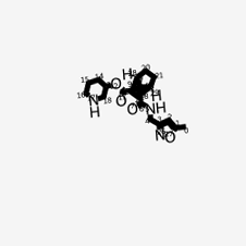 Cc1cc(CNC(=O)[C@H]2[C@H](C(=O)OC3CCCNC3)[C@H]3CC[C@@H]2C32CC2)no1